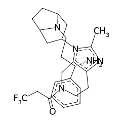 Cc1nc2c(n1C1CC3CCC(C1)N3CC[C@H](N)c1ccccc1)CN(C(=O)CC(F)(F)F)CC2